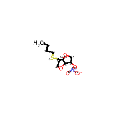 CCCCSC1COC2C(O[N+](=O)[O-])COC12